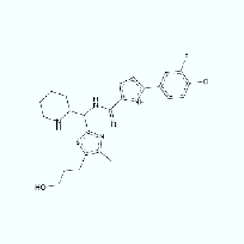 Cc1nc(C(NC(=O)c2ccc(-c3ccc(Cl)c(F)c3)[nH]2)C2CCCCN2)sc1CCCO